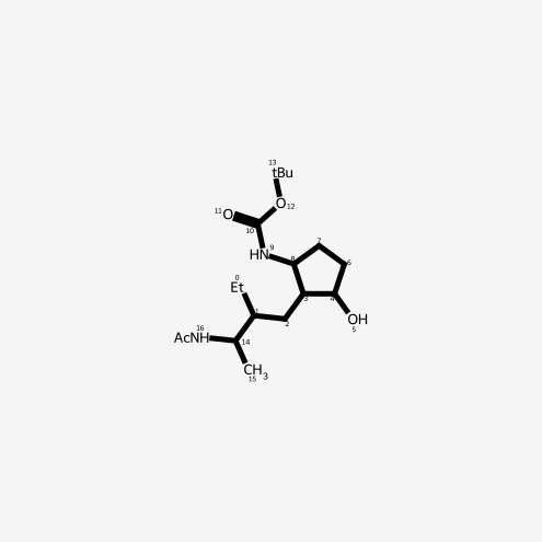 CCC(CC1C(O)CCC1NC(=O)OC(C)(C)C)C(C)NC(C)=O